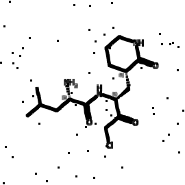 CC(C)C[C@H](N)C(=O)N[C@@H](C[C@@H]1CCCNC1=O)C(=O)CCl